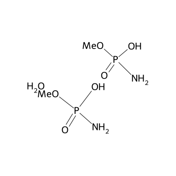 COP(N)(=O)O.COP(N)(=O)O.O